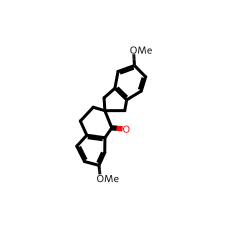 COc1ccc2c(c1)CC1(CCc3ccc(OC)cc3C1=O)C2